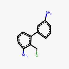 Nc1cccc(-c2cccc(N)c2CCl)c1